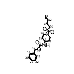 O=C(NC1CCN(S(=O)(=O)CCCI)CC1)OCc1ccccc1